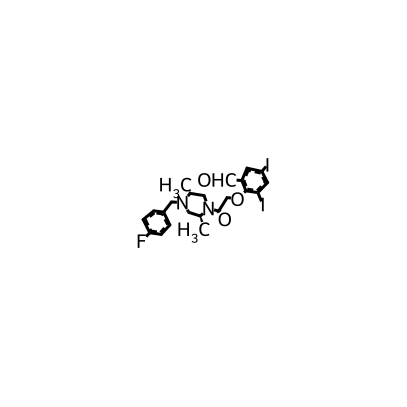 C[C@@H]1CN(C(=O)COc2c(I)cc(I)cc2C=O)[C@@H](C)CN1Cc1ccc(F)cc1